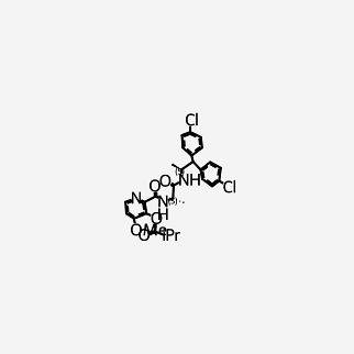 COc1ccnc(C(=O)N[C@@H](C)C(=O)N[C@@H](C)C(c2ccc(Cl)cc2)c2ccc(Cl)cc2)c1OC(=O)C(C)C